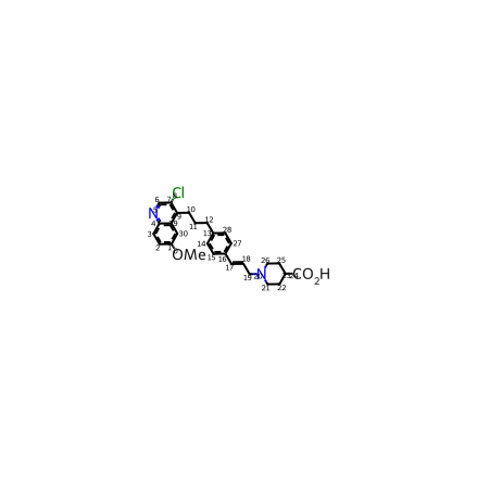 COc1ccc2ncc(Cl)c(CCCc3ccc(/C=C/CN4CCC(C(=O)O)CC4)cc3)c2c1